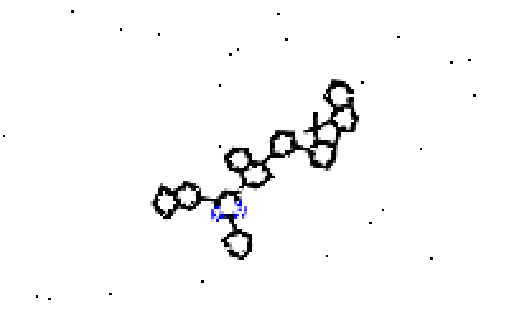 CC1(C)c2c(-c3cccc(-c4ccc(-c5cc(-c6ccc7ccccc7c6)nc(-c6ccccc6)n5)c5ccccc45)c3)cccc2-c2ccc3ccccc3c21